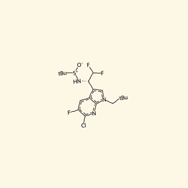 CC(C)(C)Cn1cc([C@H](N[S+]([O-])C(C)(C)C)C(F)F)c2cc(F)c(Cl)nc21